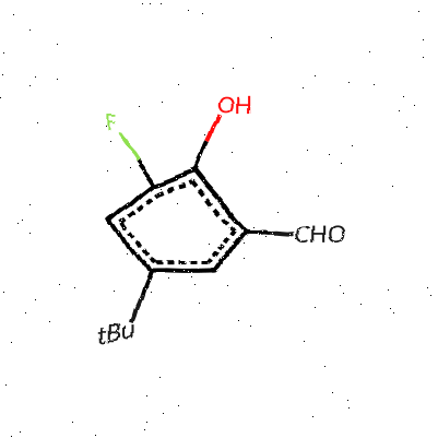 CC(C)(C)c1cc(F)c(O)c(C=O)c1